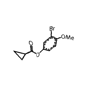 COc1ccc(OC(=O)C2CC2)cc1Br